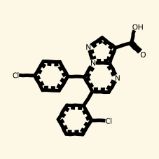 O=C(O)c1cnn2c(-c3ccc(Cl)cc3)c(-c3ccccc3Cl)cnc12